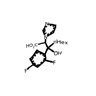 CCCCCCC(O)(c1ccc(F)cc1F)C(C(=O)O)n1ccnc1